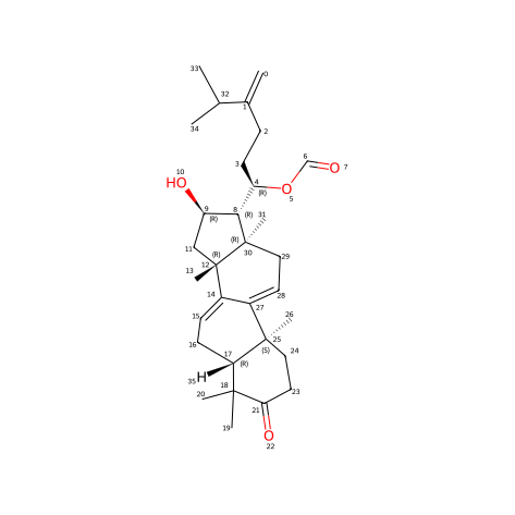 C=C(CC[C@@H](OC=O)[C@H]1[C@H](O)C[C@@]2(C)C3=CC[C@H]4C(C)(C)C(=O)CC[C@]4(C)C3=CC[C@]12C)C(C)C